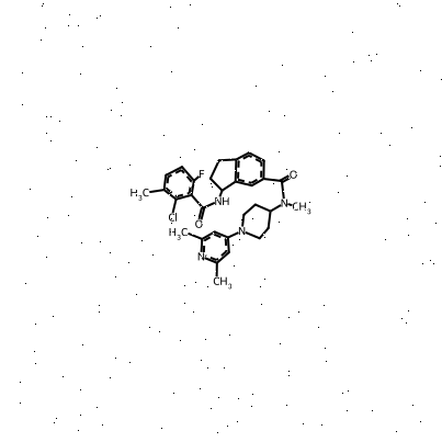 Cc1cc(N2CCC(N(C)C(=O)c3ccc4c(c3)C(NC(=O)c3c(F)ccc(C)c3Cl)CC4)CC2)cc(C)n1